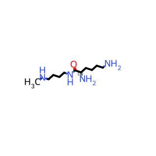 CNCCCCNC(=O)[C@@H](N)CCCCN